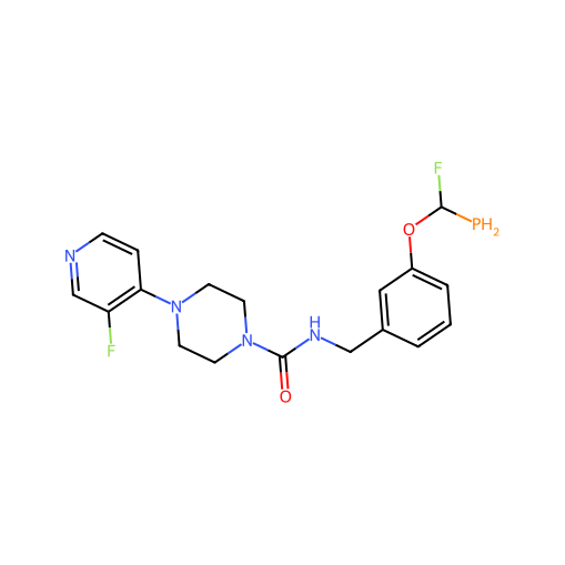 O=C(NCc1cccc(OC(F)P)c1)N1CCN(c2ccncc2F)CC1